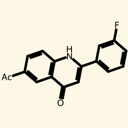 CC(=O)c1ccc2[nH]c(-c3cccc(F)c3)cc(=O)c2c1